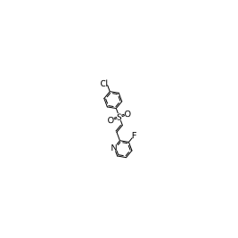 O=S(=O)(C=Cc1ncccc1F)c1ccc(Cl)cc1